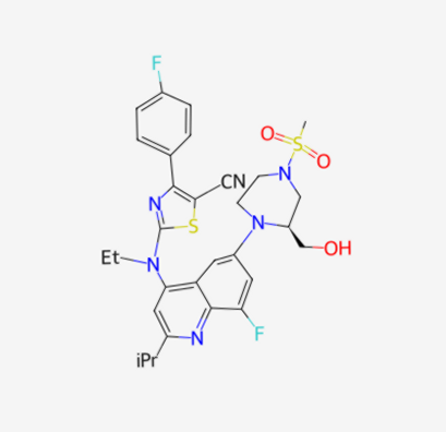 CCN(c1nc(-c2ccc(F)cc2)c(C#N)s1)c1cc(C(C)C)nc2c(F)cc(N3CCN(S(C)(=O)=O)C[C@H]3CO)cc12